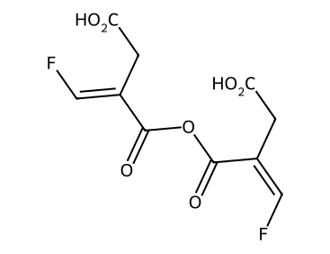 O=C(O)CC(=CF)C(=O)OC(=O)C(=CF)CC(=O)O